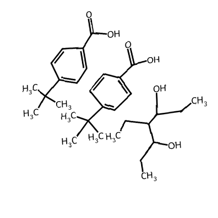 CC(C)(C)c1ccc(C(=O)O)cc1.CC(C)(C)c1ccc(C(=O)O)cc1.CCC(O)C(CC)C(O)CC